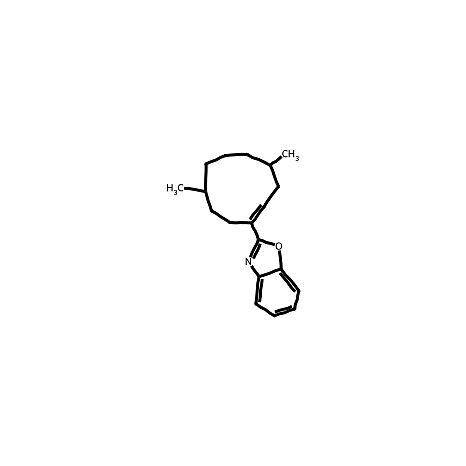 CC1C/C=C(/c2nc3ccccc3o2)CCC(C)CCC1